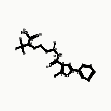 Cc1oc(-c2ccccc2)cc1C(=O)N[C@H](C)CCCC(C(=O)O)C(C)(C)C